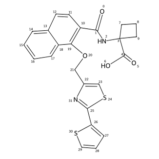 O=C(NC1(C(=O)O)CCC1)c1ccc2ccccc2c1OCc1csc(-c2cccs2)n1